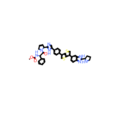 COC(=O)N[C@@H](C(=O)N1CC=CC1c1ncc(-c2ccc(-c3csc4c(-c5ccc6nc(C7CCCN7)[nH]c6c5)csc34)cc2)[nH]1)c1ccccc1